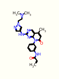 C=CC(=O)Nc1cccc(-n2c(=O)cc(C)c3cnc(Nc4cnn(CCN(C)C)c4)nc32)c1